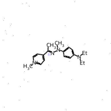 CCN(CC)c1ccc(N(C)/N=C(\C)c2cc[n+](C)cc2)cc1